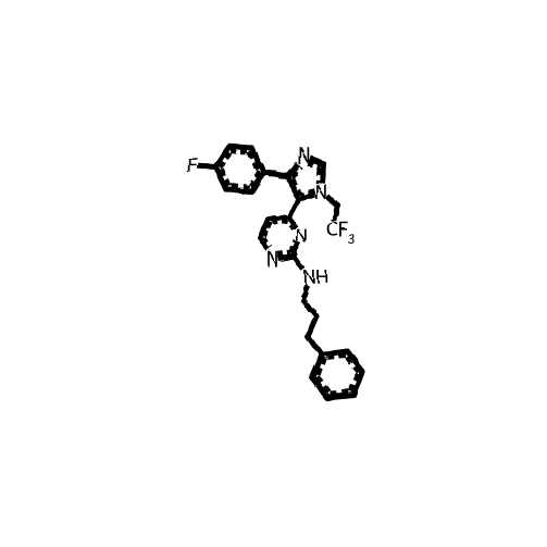 Fc1ccc(-c2ncn(CC(F)(F)F)c2-c2ccnc(NCCCc3ccccc3)n2)cc1